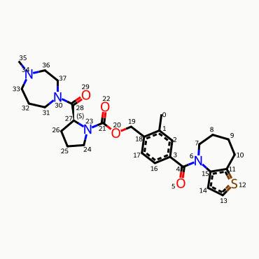 Cc1cc(C(=O)N2CCCCc3sccc32)ccc1COC(=O)N1CCC[C@H]1C(=O)N1CCCN(C)CC1